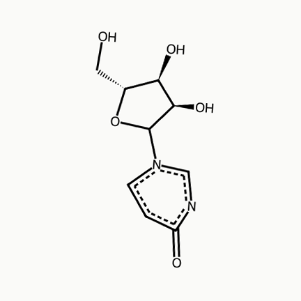 O=c1ccn(C2O[C@H](CO)[C@@H](O)[C@H]2O)cn1